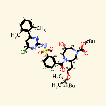 Cc1cccc(C)c1-c1cc(Cl)nc(NS(=O)(=O)c2cccc(C(=O)N3CC(O)CN(C(=O)OC(C)(C)C)CC3CCO[Si](C)(C)C(C)(C)C)c2)n1